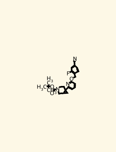 CC(C)(C)OC(=O)N1CCC2(c3cccc(OCc4ccc(C#N)cc4F)n3)CC2C1